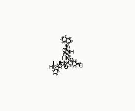 N[C@@H](Cc1c[nH]c2ccccc12)C(=O)NC(Cc1ccc(CCl)cc1)C(=O)NCC(=O)NC(=O)OCc1cccc2ccccc12